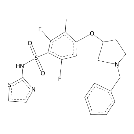 Cc1c(OC2CCN(Cc3ccccc3)C2)cc(F)c(S(=O)(=O)Nc2nccs2)c1F